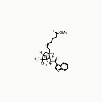 COC(=O)CCC/C=C\C[C@H]1C[C@H]2C[C@@H]([C@@H]1NC(=O)c1csc3ccccc13)C2(C)C